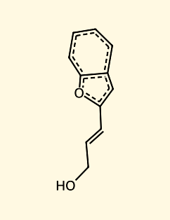 OCC=Cc1cc2ccccc2o1